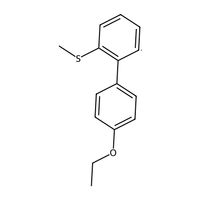 CCOc1ccc(-c2[c]cccc2SC)cc1